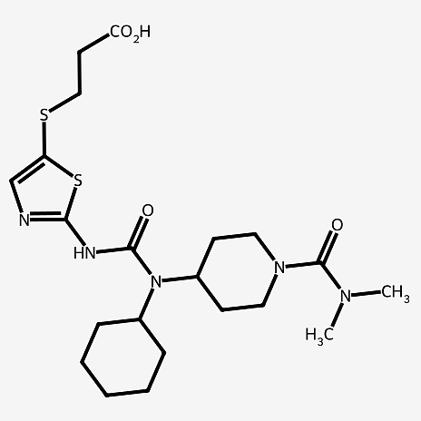 CN(C)C(=O)N1CCC(N(C(=O)Nc2ncc(SCCC(=O)O)s2)C2CCCCC2)CC1